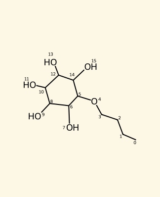 CCCCOC1C(O)C(O)C(O)C(O)C1O